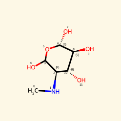 CN[C@H]1C(O)O[C@H](O)[C@@H](O)[C@@H]1O